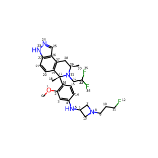 COc1cc(NC2CN(CCCF)C2)ccc1[C@]1(C)c2ccc3[nH]ncc3c2C[C@@H](C)N1CC(F)F